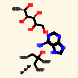 Nc1ncnc2nc[nH]c12.O=C([O-])CC(O)(CC(=O)[O-])C(=O)[O-].O=C[C@H](O)[C@@H](O)[C@H](O)[C@H](O)CO.[K+].[K+].[K+]